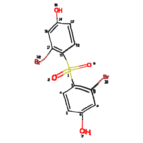 O=S(=O)(c1ccc(O)cc1Br)c1ccc(O)cc1Br